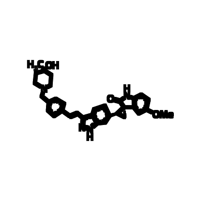 COc1ccc2c(c1)[C@]1(C[C@H]1c1ccc3c(/C=C/c4ccc(CN5CCC(C)(O)CC5)cc4)n[nH]c3c1)C(=O)N2